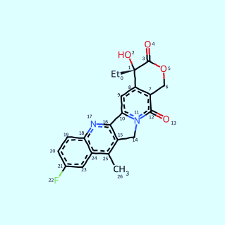 CC[C@@]1(O)C(=O)OCc2c1cc1n(c2=O)Cc2c-1nc1ccc(F)cc1c2C